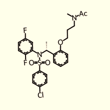 CC(=O)N(C)CCCOc1ccccc1[C@@H](C)N(c1cc(F)ccc1F)S(=O)(=O)c1ccc(Cl)cc1